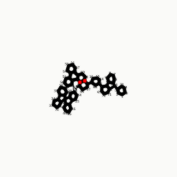 c1ccc(C2c3ccccc3-c3c(-c4cccc(-c5ccc(N(c6ccc7c(c6)C6(c8ccccc8-c8ccccc86)c6ccccc6-7)c6cccc7c8ccccc8c8ccccc8c67)cc5)c4)cccc32)cc1